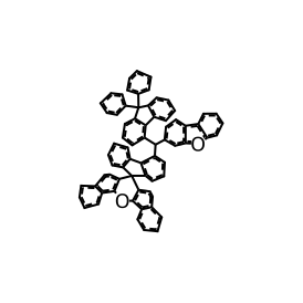 c1ccc(C2(c3ccccc3)c3ccccc3-c3c(C(c4ccc5c(c4)oc4ccccc45)c4cccc5c4-c4ccccc4C54c5ccc6ccccc6c5Oc5c4ccc4ccccc54)cccc32)cc1